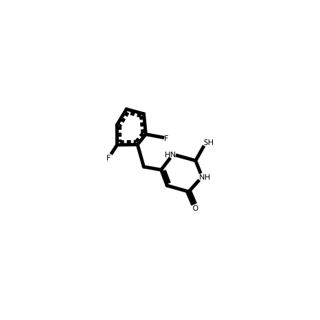 O=C1C=C(Cc2c(F)cccc2F)NC(S)N1